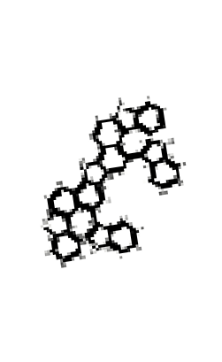 c1ccc2c(c1)oc1ccc3c4oc5c(cc(-c6csc7ccccc67)c6c5ccc5oc7ccccc7c56)c4cc(-c4csc5ccccc45)c3c12